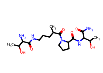 CC(CCCNC(=O)C(N)C(C)O)C(=O)N1CCCC1C(=O)NC(C(N)=O)C(C)O